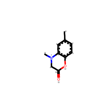 Cc1ccc2c(c1)N(C)CC(=O)O2